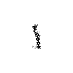 Cn1nccc1-c1ccc(-c2ccc(-c3nc4nc(O[C@@H]5CO[C@H]6C5OC[C@H]6O)[nH]c4cc3Cl)cc2)cc1